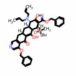 C=CCN(CC=C)[C@@H]1c2onc(OCc3ccccc3)c2C(=O)[C@@]2(O[Si](C)(C)C(C)(C)C)C(O)=C3C(=O)c4c(cncc4OCc4ccccc4)C[C@H]3C[C@@H]12